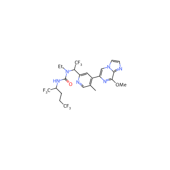 CCN(C(=O)NC(CCC(F)(F)F)C(F)(F)F)C(c1cc(-c2cn3ccnc3c(OC)n2)c(C)cn1)C(F)(F)F